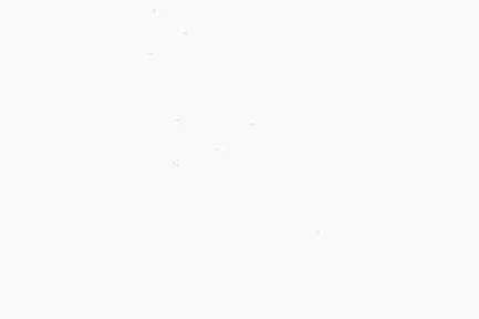 Nc1ncc(-c2nc(N3CCOCC3)nc3c2CCN3c2ccc(CN3CCS(=O)(=O)CC3)cc2)cn1